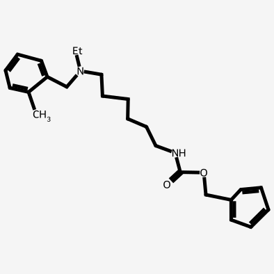 CCN(CCCCCCNC(=O)OCc1ccccc1)Cc1ccccc1C